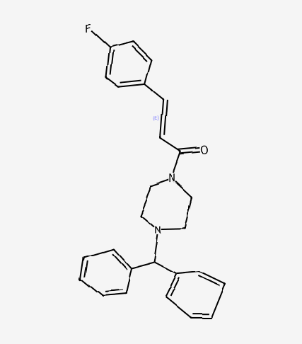 O=C(/C=C/c1ccc(F)cc1)N1CCN(C(c2ccccc2)c2ccccc2)CC1